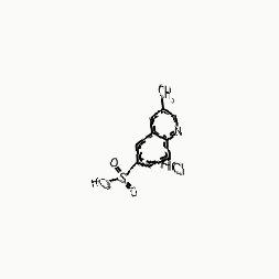 Cc1cnc2ccc(S(=O)(=O)O)cc2c1.Cl